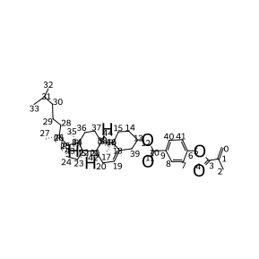 C=C(C)C(=O)Oc1ccc(C(=O)OC2CC[C@@]3(C)C(=CC[C@H]4[C@@H]5CC[C@H]([C@H](C)CCCC(C)C)[C@@]5(C)CC[C@@H]43)C2)cc1